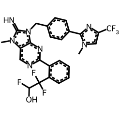 Cn1cc(C(F)(F)F)nc1-c1ccc(Cn2c(=N)n(C)c3cnc(-c4ccccc4C(F)(F)C(O)F)nc32)cc1